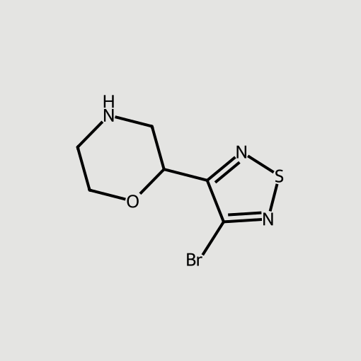 Brc1nsnc1C1CNCCO1